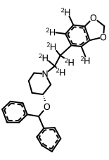 [2H]c1c([2H])c(C([2H])([2H])C([2H])([2H])N2CCC[C@@H](OC(c3ccccc3)c3ccccc3)C2)c([2H])c2c1OCO2